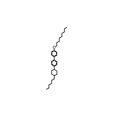 CCCCCCCCCOc1ccc(-c2ccc(C3CCC(CCCCCC)CC3)cc2)cc1